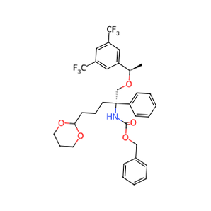 C[C@@H](OC[C@@](CCCC1OCCCO1)(NC(=O)OCc1ccccc1)c1ccccc1)c1cc(C(F)(F)F)cc(C(F)(F)F)c1